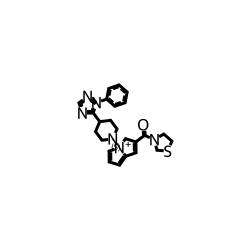 O=C(C1=CC2=CC=C[N@@+]2(N2CCC(c3ncnn3-c3ccccc3)CC2)C1)N1CCSC1